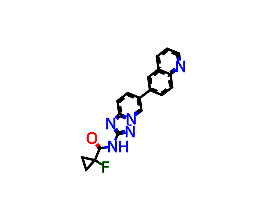 O=C(Nc1nc2ccc(-c3ccc4ncccc4c3)cn2n1)C1(F)CC1